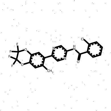 Cc1cc2c(cc1-c1cnc(NC(=O)c3ccccc3Cl)cn1)OC(F)(F)C(F)(F)O2